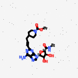 CCNC(=O)[C@H]1O[C@@H](n2cnc3c(N)nc(C#CCC4CCN(C(=O)OC(C)C)CC4)nc32)C(O)C1O